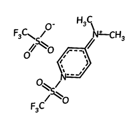 C[N+](C)=c1ccn(S(=O)(=O)C(F)(F)F)cc1.O=S(=O)([O-])C(F)(F)F